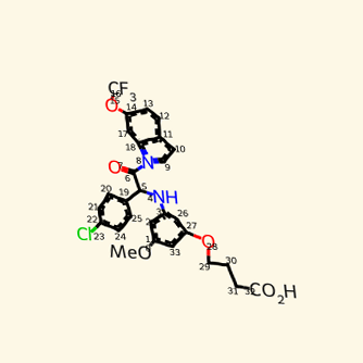 COc1cc(NC(C(=O)n2ccc3ccc(OC(F)(F)F)cc32)c2ccc(Cl)cc2)cc(OCCCC(=O)O)c1